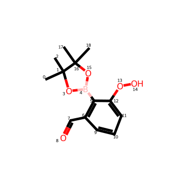 CC1(C)OB(c2c(C=O)cccc2OO)OC1(C)C